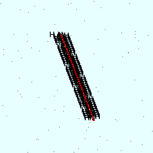 CCCNNNNNNNNNNCNNNNNNNNNNCNNNNNNNNNNCNNNNNNNNNNCNNNNNNNNNNCNNNNNNNNNNCNNNNNNNNNNCNNNNNNNNNN